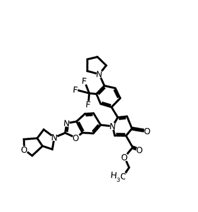 CCOC(=O)c1cn(-c2ccc3nc(N4CC5COCC5C4)oc3c2)c(-c2ccc(N3CCCC3)c(C(F)(F)F)c2)cc1=O